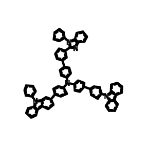 c1ccc(-n2c(-c3cccc(-c4ccc(N(c5ccc(-c6ccc(-n7c8ccccc8c8ccccc87)cc6)cc5)c5ccc(-c6ccc7c8ccccc8n(-c8ccccc8)c7c6)cc5)cc4)c3)nc3ccccc32)cc1